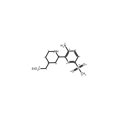 CCOC(=O)CC1CCNC(c2nc(S(C)(=O)=O)ccc2N)C1